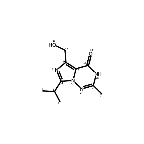 Cc1nn2c(C(C)C)nc(CO)c2c(=O)[nH]1